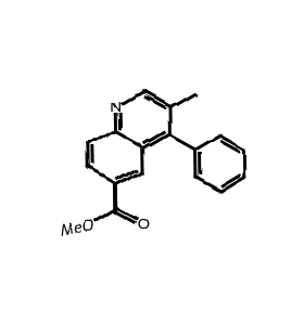 COC(=O)c1ccc2ncc(C)c(-c3ccccc3)c2c1